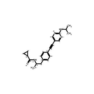 CC(C)Nc1ncc(C#Cc2ccc(CC(C)NC(=O)C3CC3)cc2)cn1